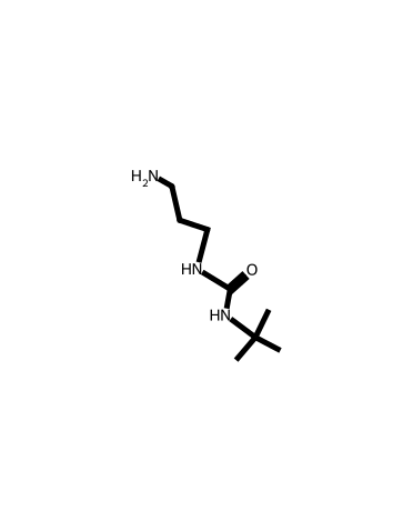 CC(C)(C)NC(=O)NCCCN